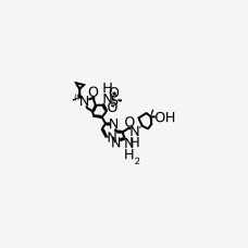 C[C@@H](C1CC1)N1Cc2cc(-c3ccn4nc(N)c(C(=O)N[C@H]5CC[C@@](C)(O)CC5)c4n3)cc(NS(C)(=O)=O)c2C1=O